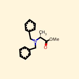 COC(=O)[C@@H](C)N(Cc1ccccc1)Cc1ccccc1